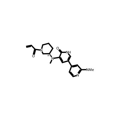 C=CC(=O)N1CCC[C@@H](N(C)c2cc(-c3ccnc(NC)c3)c[nH]c2=O)C1